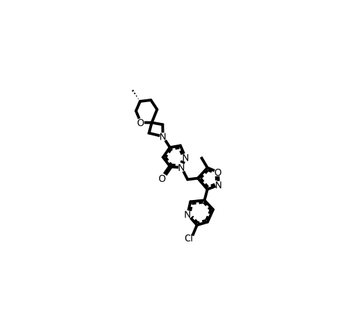 Cc1onc(-c2ccc(Cl)nc2)c1Cn1ncc(N2CC3(CC[C@@H](C)CO3)C2)cc1=O